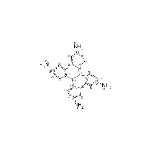 Nc1ccc(C(c2ccc(N)cc2)C(c2ccc(N)cc2)c2ccc(N)cc2)cc1